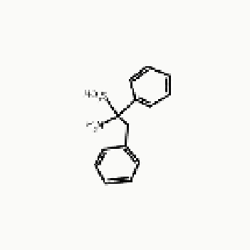 NC(Cc1ccccc1)(c1ccccc1)S(=O)(=O)O